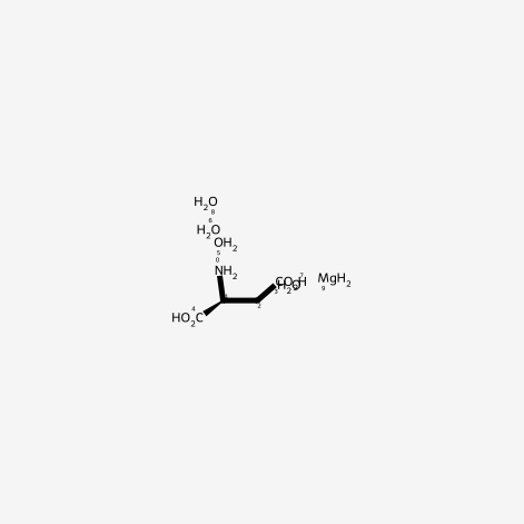 N[C@@H](CC(=O)O)C(=O)O.O.O.O.O.[MgH2]